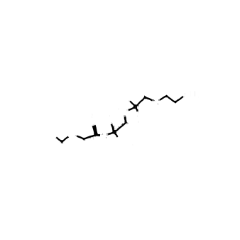 CCCNCC(C)(C)OCC(C)(C)NC(=O)COCC